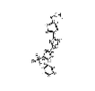 CCc1ccc(-c2noc(-c3cc(-c4ccccc4)c(C(F)(F)F)s3)n2)cc1